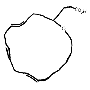 O=C(O)CC1CC/C=C/C/C=C/C/C=C/CCCCCO1